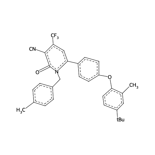 [C-]#[N+]c1c(C(F)(F)F)cc(-c2ccc(Oc3ccc(C(C)(C)C)cc3C)cc2)n(Cc2ccc(C)cc2)c1=O